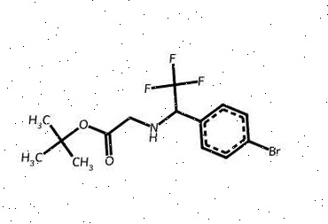 CC(C)(C)OC(=O)CNC(c1ccc(Br)cc1)C(F)(F)F